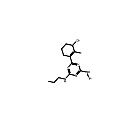 CC(C)Nc1nc(NCCF)nc(C2=C(F)C(O)CCC2)n1